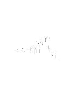 C=CC(=O)N1CCN(CCn2c(=O)ccc3cnc(Nc4ccc(N5CCN(C(C)=O)CC5)c(Cl)c4)nc32)CC1